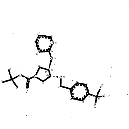 CC(C)(C)OC(=O)N1C[C@@H](OCc2ccc(C(F)(F)F)cc2)[C@H](Oc2ncccn2)C1